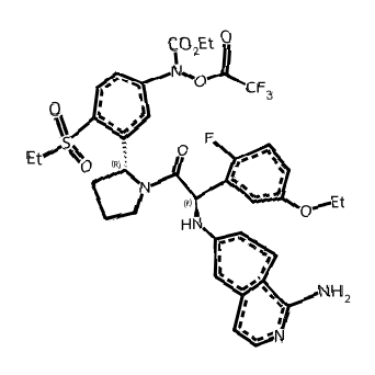 CCOC(=O)N(OC(=O)C(F)(F)F)c1ccc(S(=O)(=O)CC)c([C@H]2CCCN2C(=O)[C@H](Nc2ccc3c(N)nccc3c2)c2cc(OCC)ccc2F)c1